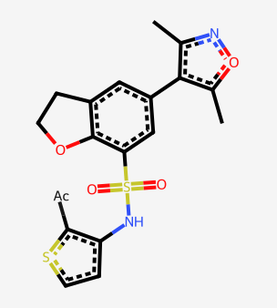 CC(=O)c1sccc1NS(=O)(=O)c1cc(-c2c(C)noc2C)cc2c1OCC2